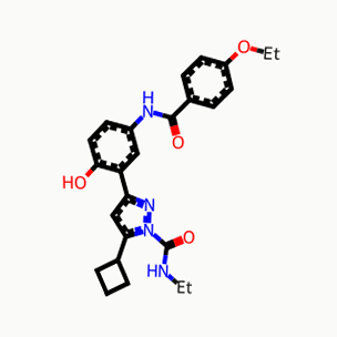 CCNC(=O)n1nc(-c2cc(NC(=O)c3ccc(OCC)cc3)ccc2O)cc1C1CCC1